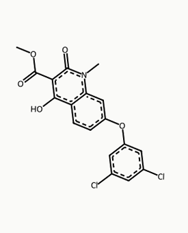 COC(=O)c1c(O)c2ccc(Oc3cc(Cl)cc(Cl)c3)cc2n(C)c1=O